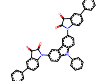 O=C1C(=O)N(c2ccc3c(c2)c2cc(N4C(=O)C(=O)c5cc(-c6ccccc6)ccc54)ccc2n3-c2ccccc2)c2ccc(-c3ccccc3)cc21